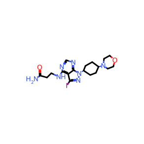 NC(=O)CCNc1ncnc2c1c(I)nn2[C@H]1CC[C@H](N2CCOCC2)CC1